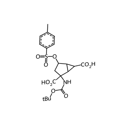 Cc1ccc(S(=O)(=O)OC2CC(NC(=O)OC(C)(C)C)(C(=O)O)C3C(C(=O)O)C23)cc1